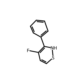 FC1=C(c2ccccc2)NSC=C1